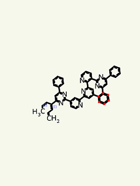 C=C/C=C(\C=C/C)c1cc(-c2ccccc2)nc(-c2ccnc(-c3cc(-c4ccccc4)cc(-c4ncccc4-c4nc(-c5ccccc5)cc(-c5ccccc5)n4)n3)c2)n1